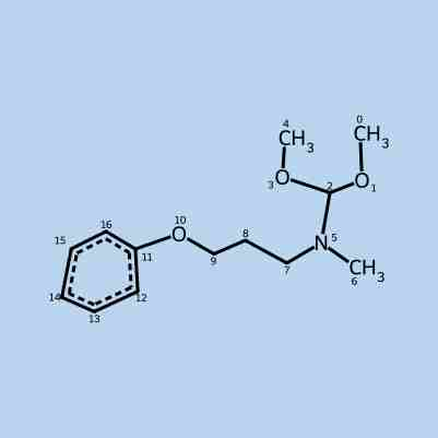 COC(OC)N(C)CCCOc1ccccc1